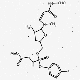 COC(=O)CNP(=O)(OCC1CC(C)C(N(C)/C=C\C(=O)NC=O)O1)Oc1ccc(F)cc1